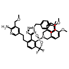 COCc1cc(CCc2ccc(C(F)(F)F)c(S(=O)(=O)N(Cc3ccc(OC)cc3)Cc3ccc(OC)cc3)c2-c2nnn(Cc3ccc(OC)cc3)n2)cnc1N